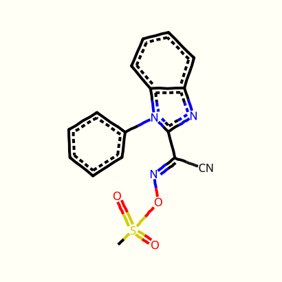 CS(=O)(=O)O/N=C(\C#N)c1nc2ccccc2n1-c1ccccc1